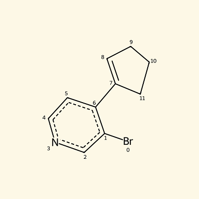 Brc1cnccc1C1=CCCC1